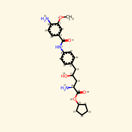 COc1cc(C(=O)Nc2ccc(CC(O)C[C@H](N)C(=O)OC3CCCC3)cc2)ccc1N